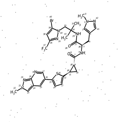 Cn1cc(C[C@@H](NC(=O)[C@@H]2C[C@H]2c2ccc(-c3cnc4nn(C)cc4c3)s2)C(=O)NC(C)(C)Cn2nc(C(F)(F)F)cc2Br)cn1